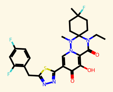 CCN1C(=O)c2c(O)c(=O)c(-c3nnc(Cc4ccc(F)cc4F)s3)cn2N(C)C12CCC(C)(F)CC2